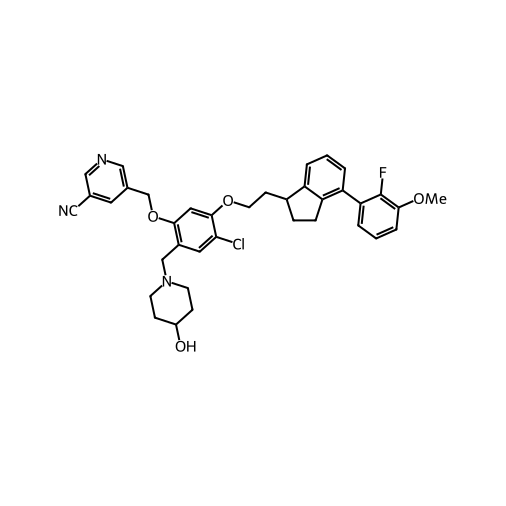 COc1cccc(-c2cccc3c2CCC3CCOc2cc(OCc3cncc(C#N)c3)c(CN3CCC(O)CC3)cc2Cl)c1F